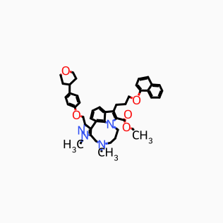 CCOC(=O)c1c(CCCOc2cccc3ccccc23)c2cccc3c2n1CCCN(C)Cc1c-3c(COc2ccc(C3CCOCC3)cc2)nn1C